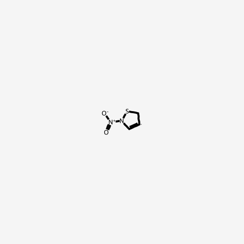 O=[N+]([O-])N1C=[C]CS1